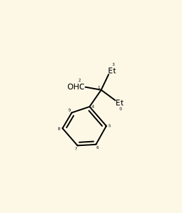 CCC(C=O)(CC)c1ccccc1